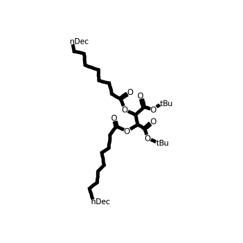 CCCCCCCCCCCCCCCCCC(=O)OC(C(=O)OC(C)(C)C)C(OC(=O)CCCCCCCCCCCCCCCCC)C(=O)OC(C)(C)C